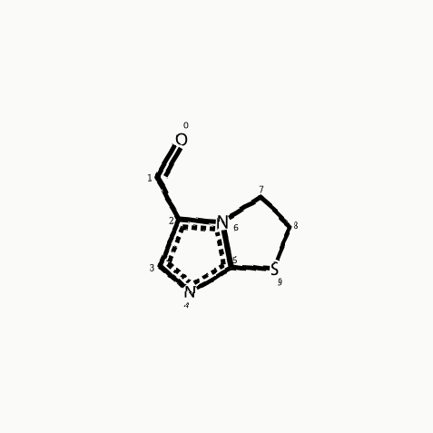 O=Cc1cnc2n1CCS2